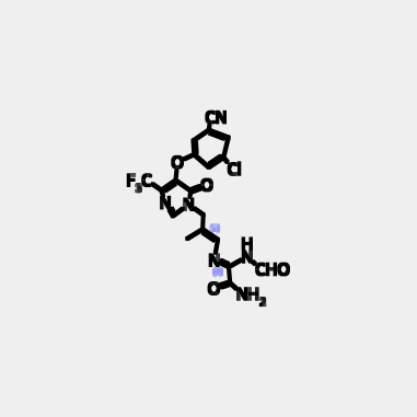 C/C(=C\N=C(/NC=O)C(N)=O)Cn1cnc(C(F)(F)F)c(Oc2cc(Cl)cc(C#N)c2)c1=O